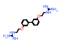 N=C(N)NCCOc1cccc(-c2cccc(OCCNC(=N)N)c2)c1